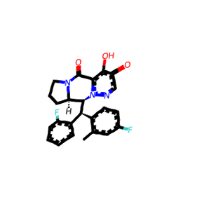 Cc1cc(F)ccc1[C@@H](c1ccccc1F)[C@H]1[C@H]2CCCN2C(=O)c2c(O)c(=O)cnn21